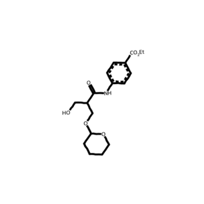 CCOC(=O)c1ccc(NC(=O)C(CO)COC2CCCCO2)cc1